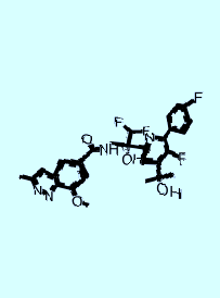 COc1cc(C(=O)NC[C@](O)(c2cc(C(C)(C)O)c(F)c(-c3ccc(F)cc3)n2)C(F)F)cc2cc(C)nnc12